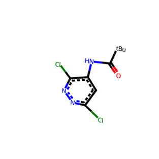 CC(C)(C)C(=O)Nc1cc(Cl)nnc1Cl